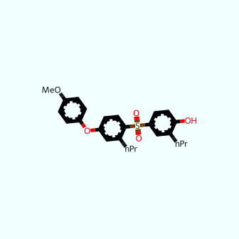 CCCc1cc(S(=O)(=O)c2ccc(Oc3ccc(OC)cc3)cc2CCC)ccc1O